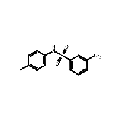 [CH2]c1ccc(NS(=O)(=O)c2cccc(C(F)(F)F)c2)cc1